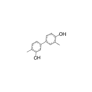 Cc1cc(-c2ccc(C)c(O)c2)ccc1O